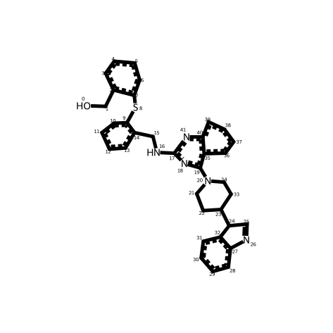 OCc1ccccc1Sc1ccccc1CNc1nc(N2CCC(C3C=Nc4ccccc43)CC2)c2ccccc2n1